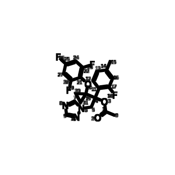 CC(=O)OC(Cn1cncn1)(c1ccc(C)cc1F)C1(Oc2c(F)cc(F)cc2F)CC1